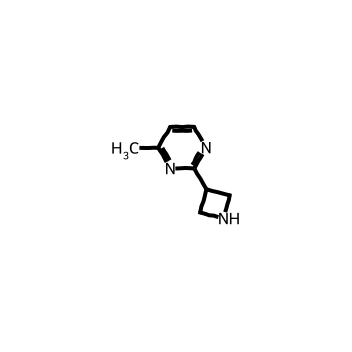 Cc1ccnc(C2CNC2)n1